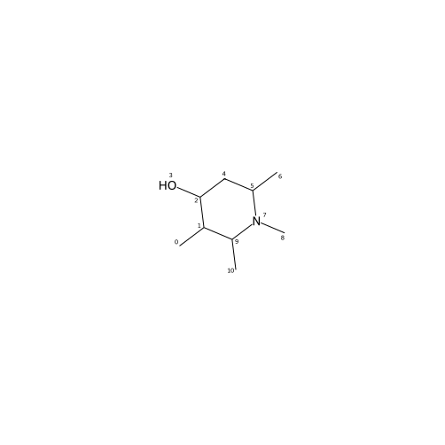 CC1C(O)CC(C)N(C)C1C